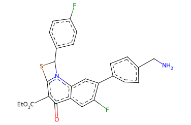 CCOC(=O)c1c2n(c3cc(-c4ccc(CN)cc4)c(F)cc3c1=O)C(c1ccc(F)cc1)S2